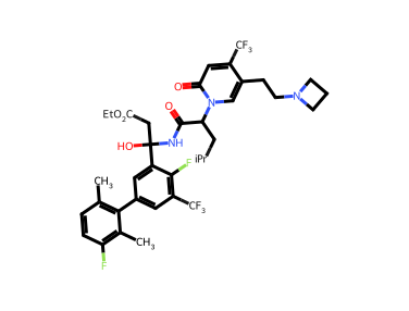 CCOC(=O)CC(O)(NC(=O)C(CC(C)C)n1cc(CCN2CCC2)c(C(F)(F)F)cc1=O)c1cc(-c2c(C)ccc(F)c2C)cc(C(F)(F)F)c1F